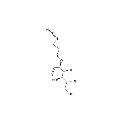 [N-]=[N+]=NCCOO[C@H](C=O)[C@@H](O)[C@H](O)[C@H](O)CO